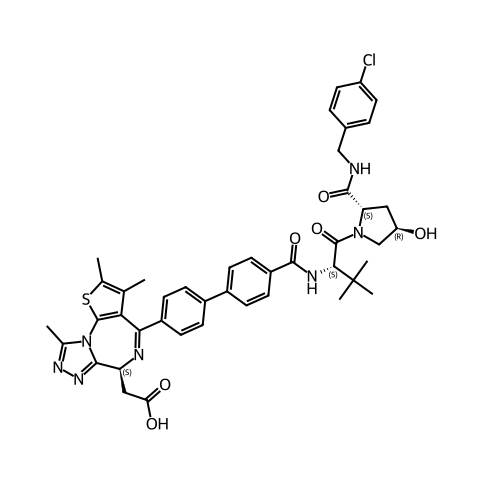 Cc1sc2c(c1C)C(c1ccc(-c3ccc(C(=O)N[C@H](C(=O)N4C[C@H](O)C[C@H]4C(=O)NCc4ccc(Cl)cc4)C(C)(C)C)cc3)cc1)=N[C@@H](CC(=O)O)c1nnc(C)n1-2